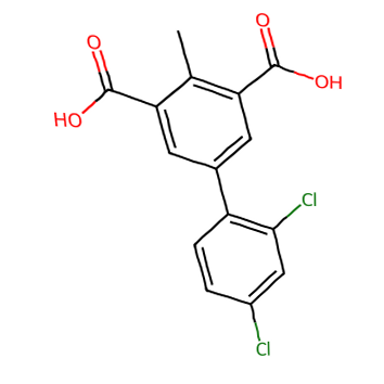 Cc1c(C(=O)O)cc(-c2ccc(Cl)cc2Cl)cc1C(=O)O